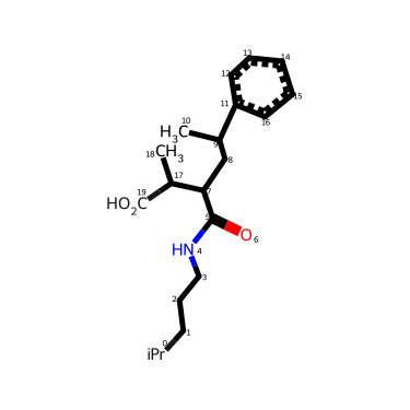 CC(C)CCCNC(=O)C(CC(C)c1ccccc1)C(C)C(=O)O